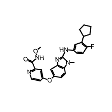 CONC(=O)c1cc(Oc2ccc3c(c2)nc(Nc2ccc(F)c(C4CCCC4)c2)n3C)ccn1